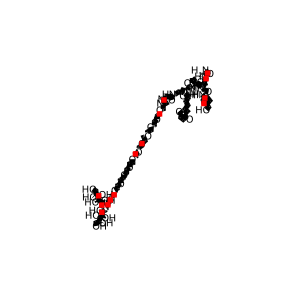 CC(C)[C@H](NC(=O)[C@H](CCCCNC(=O)Cn1cc(COCCOCCOCCOCCOCCOCCOCCOCCOCCOCCOCCOCCN(C[C@H](O)[C@@H](O)[C@H](O)[C@H](O)CO)C[C@H](O)[C@@H](O)[C@H](O)[C@H](O)CO)nn1)NC(=O)CCCCCN1C(=O)C=CC1=O)C(=O)N[C@@H](CCCNC(N)=O)C(=O)Nc1ccc(CO)cc1